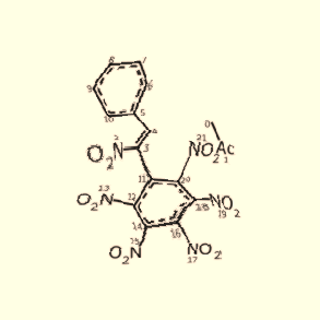 CC(C)=O.O=[N+]([O-])C(=Cc1ccccc1)c1c([N+](=O)[O-])c([N+](=O)[O-])c([N+](=O)[O-])c([N+](=O)[O-])c1[N+](=O)[O-]